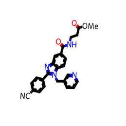 COC(=O)CCNC(=O)c1ccc2c(c1)nc(-c1ccc(C#N)cc1)n2Cc1cccnc1